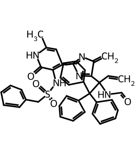 C=CC(NC=O)(C1=NC(c2cc(C)[nH]c(=O)c2NS(=O)(=O)Cc2ccccc2)=NC1=C)C(c1ccccc1)(c1ccccc1)c1ccccc1